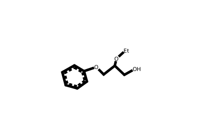 CCOC(CO)COc1ccccc1